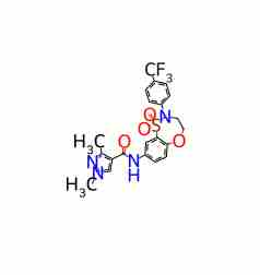 Cc1nn(C)cc1C(=O)Nc1ccc2c(c1)S(=O)(=O)N(c1ccc(C(F)(F)F)cc1)CCO2